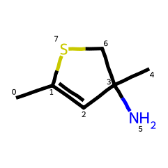 CC1=CC(C)(N)CS1